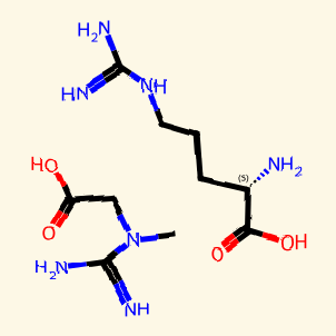 CN(CC(=O)O)C(=N)N.N=C(N)NCCC[C@H](N)C(=O)O